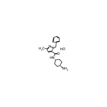 Cc1cc(C(=O)N[C@H]2CC[C@H](N)CC2)n(Cc2ccccc2)n1.Cl